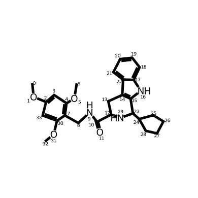 COc1cc(OC)c(CNC(=O)C2Cc3c([nH]c4ccccc34)C(C3CCCC3)N2)c(OC)c1